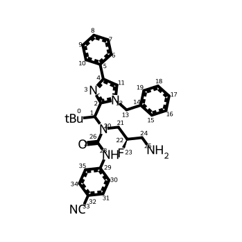 CC(C)(C)C(c1nc(-c2ccccc2)cn1Cc1ccccc1)N(C[C@H](F)CN)C(=O)Nc1ccc(C#N)cc1